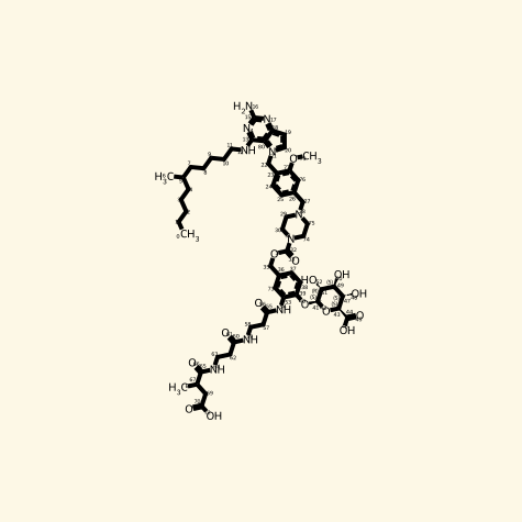 CCCCCC(C)CCCCCNc1nc(N)nc2ccn(Cc3ccc(CN4CCN(C(=O)OCc5ccc(O[C@@H]6O[C@H](C(=O)O)[C@@H](O)[C@H](O)[C@H]6O)c(NC(=O)CCNC(=O)CCNC(=O)C(C)CC(=O)O)c5)CC4)cc3OC)c12